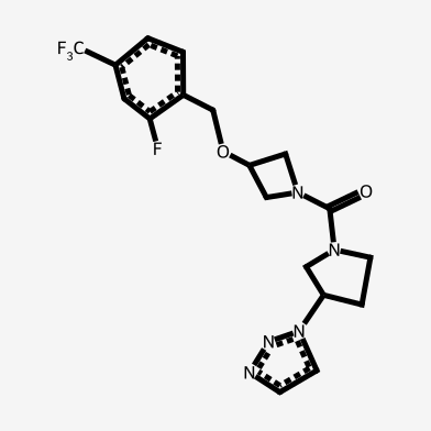 O=C(N1CC(OCc2ccc(C(F)(F)F)cc2F)C1)N1CCC(n2ccnn2)C1